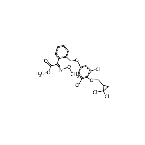 CO/N=C(/C(=O)OC)c1ccccc1COc1cc(Cl)c(OCC2CC2(Cl)Cl)c(Cl)c1